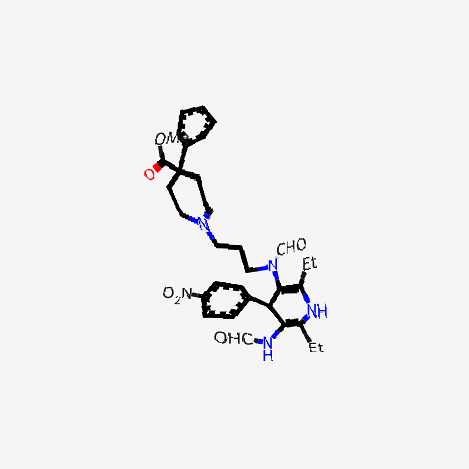 CCC1=C(NC=O)C(c2ccc([N+](=O)[O-])cc2)C(N(C=O)CCCN2CCC(C(=O)OC)(c3ccccc3)CC2)=C(CC)N1